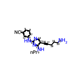 CCCNc1nc(Nc2cccc(C#N)c2)ncc1C#CCCCN